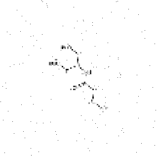 CCCOCC(=O)NC(COCC(C)C)COCC(C)C